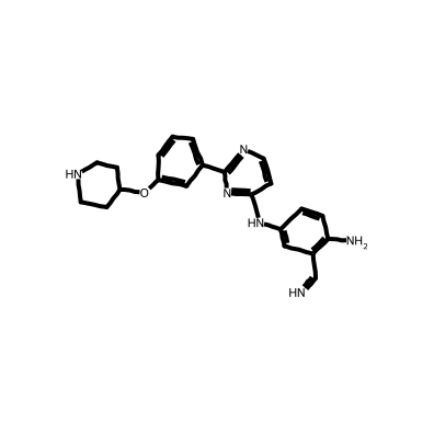 N=Cc1cc(Nc2ccnc(-c3cccc(OC4CCNCC4)c3)n2)ccc1N